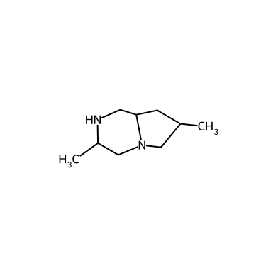 CC1CC2CNC(C)CN2C1